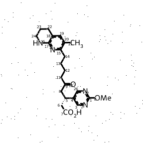 COc1ncc([C@H](CC(=O)O)CC(=O)CCCCc2nc3c(cc2C)CCCN3)cn1